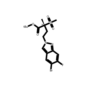 CC(C)(C)OC(=O)[C@@](C)(CCn1cc2cc(Br)c(F)cc2n1)S(C)(=O)=O